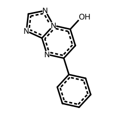 Oc1cc(-c2ccccc2)nc2ncnn12